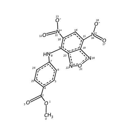 COC(=O)c1ccc(Nc2c([N+](=O)[O-])cc([N+](=O)[O-])c3nonc23)cc1